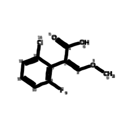 CO/C=C(\C(=O)O)c1c(F)cccc1Cl